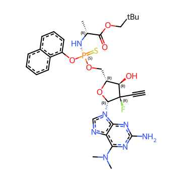 C#C[C@@]1(F)[C@H](O)[C@@H](CO[P@@](=S)(N[C@H](C)C(=O)OCC(C)(C)C)Oc2cccc3ccccc23)O[C@H]1n1cnc2c(N(C)C)nc(N)nc21